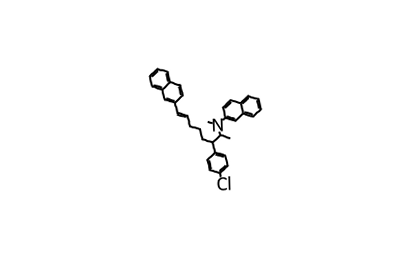 CC(C(CCC/C=C/c1ccc2ccccc2c1)c1ccc(Cl)cc1)N(C)c1ccc2ccccc2c1